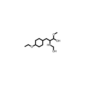 CCOC1CCC(CC(NCO)C(O)OC)CC1